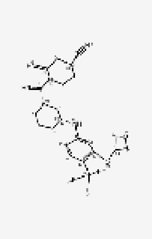 N#C[C@H]1CCN(C(=N)[C@H]2CCC[C@@H](Nc3ncc(C(F)(F)F)c(OC4COC4)n3)C2)C(=N)C1